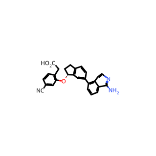 N#Cc1ccc(CC(=O)O)c(O[C@@H]2CCc3ccc(-c4cccc5c(N)nccc45)cc32)c1